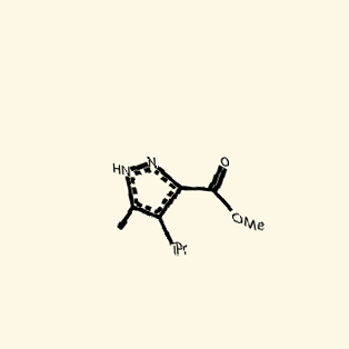 COC(=O)c1n[nH]c(C)c1C(C)C